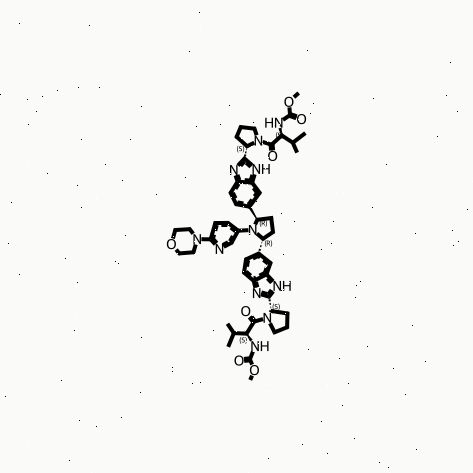 COC(=O)N[C@H](C(=O)N1CCC[C@H]1c1nc2ccc([C@H]3CC[C@H](c4ccc5nc([C@@H]6CCCN6C(=O)[C@@H](NC(=O)OC)C(C)C)[nH]c5c4)N3c3ccc(N4CCOCC4)nc3)cc2[nH]1)C(C)C